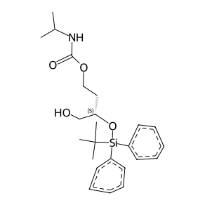 CC(C)NC(=O)OCC[C@@H](CO)O[Si](c1ccccc1)(c1ccccc1)C(C)(C)C